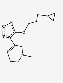 CN1CCC=C(c2nsnc2OCCCC2CC2)C1